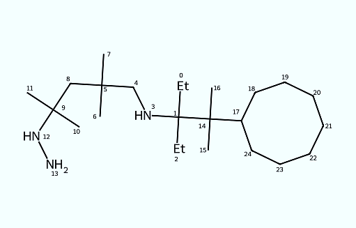 CCC(CC)(NCC(C)(C)CC(C)(C)NN)C(C)(C)C1CCCCCCC1